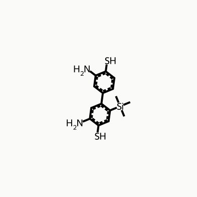 C[Si](C)(C)c1cc(S)c(N)cc1-c1ccc(S)c(N)c1